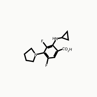 O=C(O)c1cc(F)c(N2CCCC2)c(F)c1NC1CC1